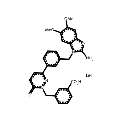 COc1cc2nc(N)n(Cc3cccc(-c4ccc(=O)n(Cc5cccc(C(=O)O)c5)n4)c3)c2cc1OC.[LiH]